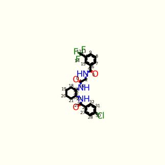 O=C(CNC(=O)c1cccc(C(F)(F)F)c1)N[C@@H]1CCCC[C@@H]1NC(=O)c1ccc(Cl)cc1